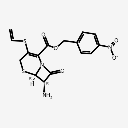 C=CSC1=C(C(=O)OCc2ccc([N+](=O)[O-])cc2)N2C(=O)[C@@H](N)[C@H]2SC1